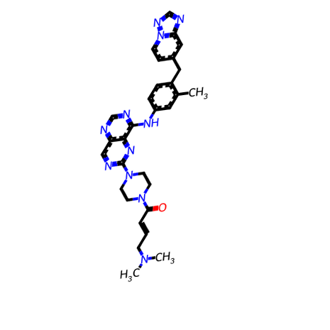 Cc1cc(Nc2ncnc3cnc(N4CCN(C(=O)/C=C/CN(C)C)CC4)nc23)ccc1Cc1ccn2ncnc2c1